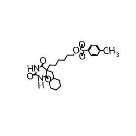 Cc1ccc(S(=O)(=O)OCCCCCCC2(CC3CCCCC3)C(=O)NC(=O)NC2=O)cc1